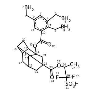 BCc1cc(CB)c(CB)c(C(=O)OC23CC4CC5C2CC5C(C(=O)OC(C)C(F)(F)S(=O)(=O)O)(C4)C3)c1